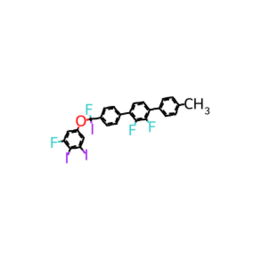 Cc1ccc(-c2ccc(-c3ccc(C(F)(I)Oc4cc(F)c(I)c(I)c4)cc3)c(F)c2F)cc1